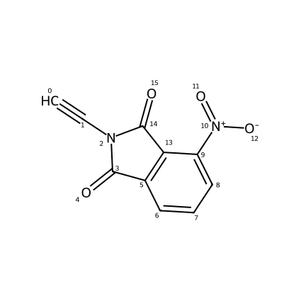 C#CN1C(=O)c2cccc([N+](=O)[O-])c2C1=O